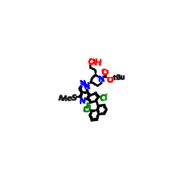 CSc1nc2c(F)c(-c3cccc4cccc(Cl)c34)c(Cl)cc2c2c1cnn2[C@H]1CCN(C(=O)OC(C)(C)C)[C@H](CCO)C1